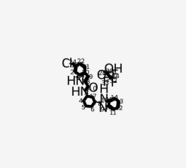 O=C(N[C@@H]1CCC[C@H](c2nc3ccccc3[nH]2)C1)c1cc2ccc(Cl)cc2[nH]1.O=C(O)C(F)(F)F